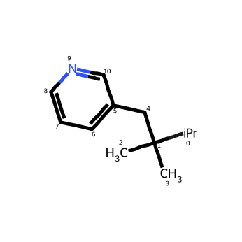 CC(C)C(C)(C)Cc1cccnc1